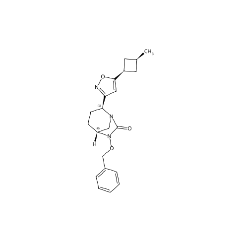 C[C@H]1C[C@@H](c2cc([C@@H]3CC[C@@H]4CN3C(=O)N4OCc3ccccc3)no2)C1